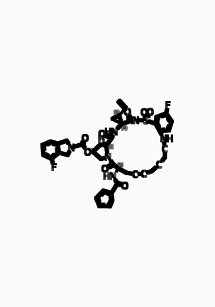 C=C[C@@H]1C[C@@]12NC(=O)[C@@H]1C[C@@H](OC(=O)N3Cc4cccc(F)c4C3)CN1C(=O)[C@@H](NC(=O)c1ccccc1)CCCCCCCNc1ccc(F)cc1S(=O)(=O)NC2=O